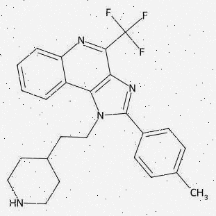 Cc1ccc(-c2nc3c(C(F)(F)F)nc4ccccc4c3n2CCC2CCNCC2)cc1